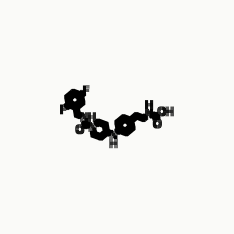 O=C(O)NCCc1ccc(NC2CCN(C(=O)NCc3cc(F)ccc3F)CC2)cc1